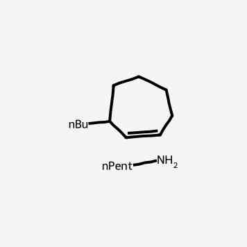 CCCCC1C=CCCCC1.CCCCCN